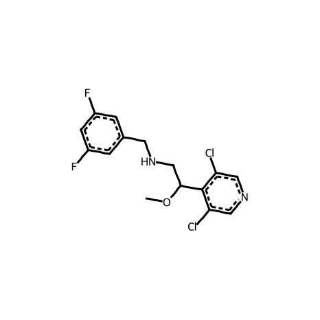 COC(CNCc1cc(F)cc(F)c1)c1c(Cl)cncc1Cl